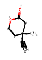 C#CC1(C)CCOC(=O)C1